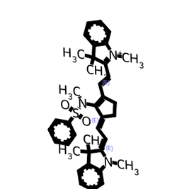 CN1/C(=C/C=C2\CCC(/C=C/C3=[N+](C)c4ccccc4C3(C)C)=C2N(C)S(=O)(=O)c2ccccc2)C(C)(C)c2ccccc21